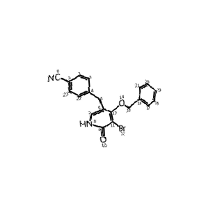 N#Cc1ccc(Cc2c[nH]c(=O)c(Br)c2OCc2ccccc2)cc1